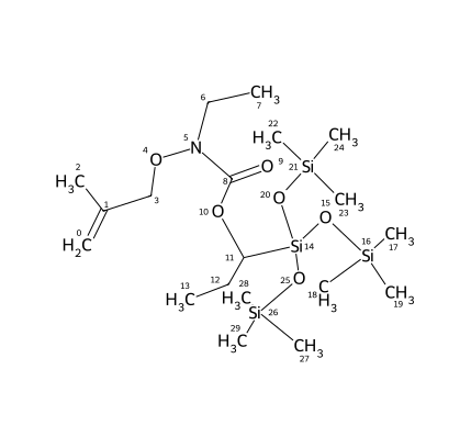 C=C(C)CON(CC)C(=O)OC(CC)[Si](O[Si](C)(C)C)(O[Si](C)(C)C)O[Si](C)(C)C